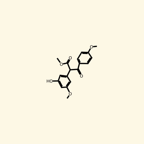 COC(=O)C(C(=O)c1ccc(OC)cc1)c1cc(O)cc(OC)c1